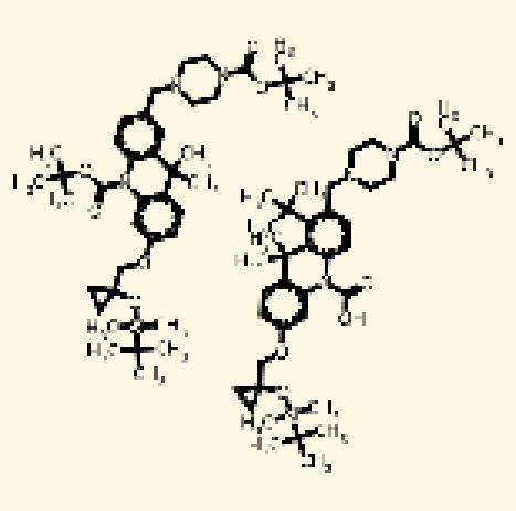 CC(C)(C)OC(=O)N1CCN(Cc2ccc3c(c2)C(C)(C)c2ccc(OCC4(O[Si](C)(C)C(C)(C)C)CC4)cc2N3C(=O)OC(C)(C)C)CC1.CC(C)(C)OC(=O)N1CCN(Cc2ccc3c(c2C(C)(C)C)C(C)(C)c2ccc(OCC4(O[Si](C)(C)C(C)(C)C)CC4)cc2N3C(=O)O)CC1